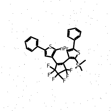 CCCc1sc(-c2ccccc2)cc1C1=C(c2cc(-c3ccccc3)sc2[Si](C)(C)C)C(F)(F)C(F)(F)C1(F)F